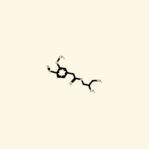 CCC(C)COC(=O)Cc1ccc(N=O)c(OC)c1